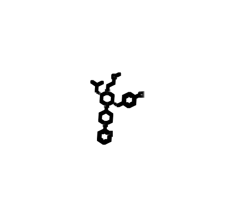 COCCN1C[C@H](Cc2ccc(Cl)cc2)N(C2CCN(c3ccccn3)CC2)C[C@@H]1CC(C)C